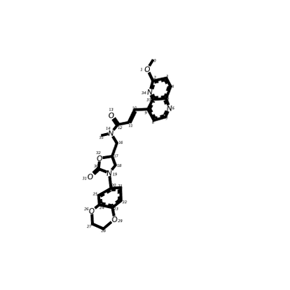 COc1ccc2nccc(C=CC(=O)N(C)CC3CN(c4ccc5c(c4)OCCO5)C(=O)O3)c2n1